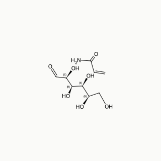 C=CC(N)=O.O=C[C@@H](O)[C@H](O)[C@@H](O)[C@H](O)CO